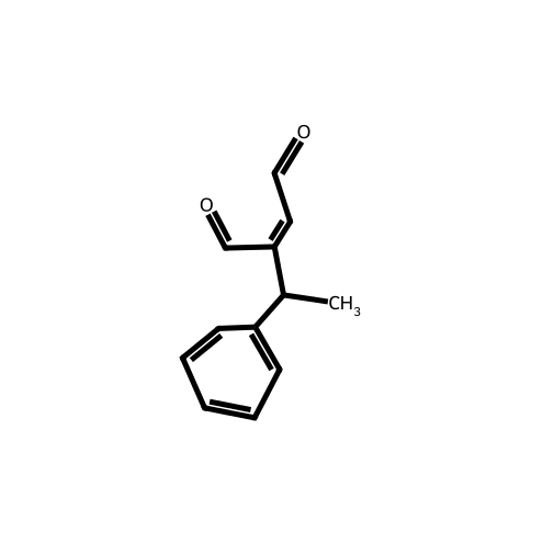 CC(C(C=O)=CC=O)c1ccccc1